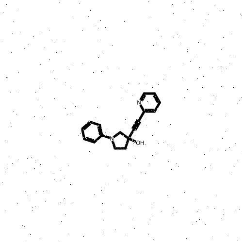 OC1(C#Cc2ccccn2)CCN(c2ccccc2)C1